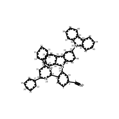 N#Cc1ccc(-c2nc(-c3ccccc3)cc(-c3ccccc3)n2)c(-n2c3ccccc3c3cc(-n4c5ccccc5c5ccccc54)ccc32)c1